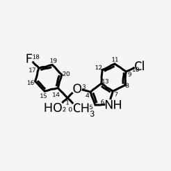 CC(O)(Oc1c[nH]c2cc(Cl)ccc12)c1ccc(F)cc1